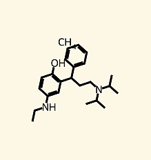 C.CCNc1ccc(O)c(C(CCN(C(C)C)C(C)C)c2ccccc2)c1